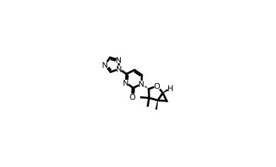 CC1(C)[C@H](n2ccc(-n3cncn3)nc2=O)O[C@@H]2C[C@@]21C